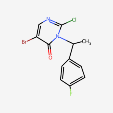 CC(c1ccc(F)cc1)n1c(Cl)ncc(Br)c1=O